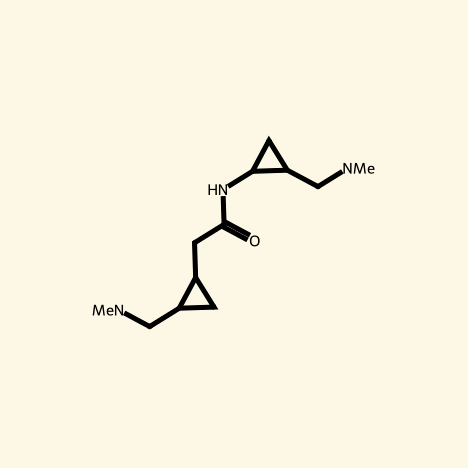 CNCC1CC1CC(=O)NC1CC1CNC